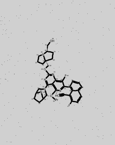 C#Cc1c(F)ccc2cccc(-c3nc(OC(C)C)c4c(N5CC6CCC(C5)N6)nc(OC[C@]56CCCN5[C@@H](CO)CC6)nc4c3F)c12